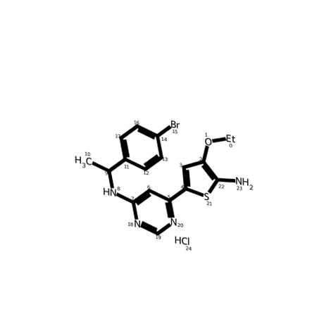 CCOc1cc(-c2cc(NC(C)c3ccc(Br)cc3)ncn2)sc1N.Cl